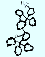 CC1C=CC=C(C2(c3ccccc3)c3ccccc3-c3ccc(-c4cccc5c4Oc4ccccc4C5(c4ccccc4)c4ccccc4)cc32)C1